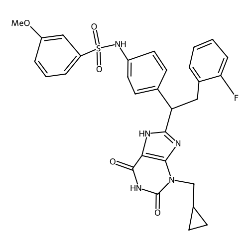 COc1cccc(S(=O)(=O)Nc2ccc(C(Cc3ccccc3F)c3nc4c([nH]3)c(=O)[nH]c(=O)n4CC3CC3)cc2)c1